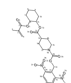 C=C(C)C(=O)OC1CCCCC1OC(=O)C1CCN(C(=O)OCc2c([N+](=O)[O-])cccc2[N+](=O)[O-])CC1